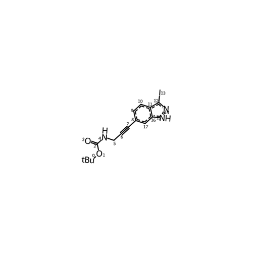 CC(C)(C)OC(=O)NCC#Cc1ccc2c(I)n[nH]c2c1